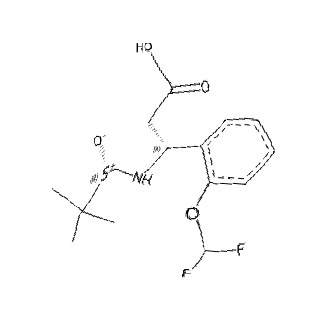 CC(C)(C)[S@+]([O-])N[C@H](CC(=O)O)c1ccccc1OC(F)F